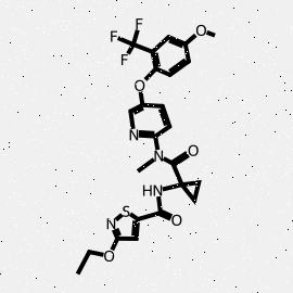 CCOc1cc(C(=O)NC2(C(=O)N(C)c3ccc(Oc4ccc(OC)cc4C(F)(F)F)cn3)CC2)sn1